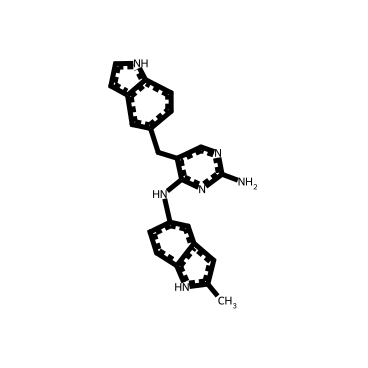 Cc1cc2cc(Nc3nc(N)ncc3Cc3ccc4[nH]ccc4c3)ccc2[nH]1